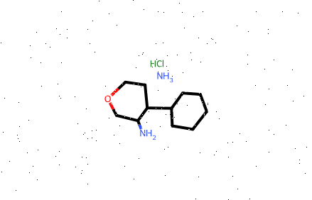 Cl.N.NC1COCCC1C1CCCCC1